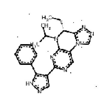 CC[C@@H]1c2nncn2-c2cnc(-c3cn[nH]c3-c3ccccc3)nc2N1C(C)C